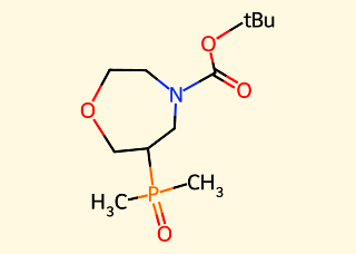 CC(C)(C)OC(=O)N1CCOCC(P(C)(C)=O)C1